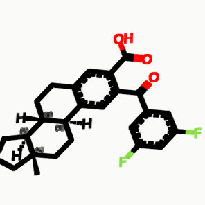 C[C@@]12CCC[C@H]1[C@@H]1CCc3cc(C(=O)O)c(C(=O)c4cc(F)cc(F)c4)cc3[C@H]1CC2